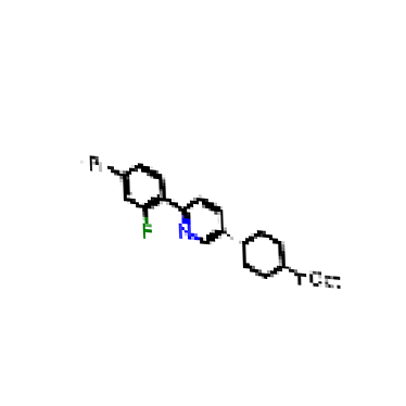 CCCCCCCC[C@H]1CC[C@H](c2ccc(-c3ccc(CCC)cc3F)nc2)CC1